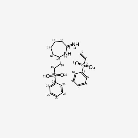 C=CS(=O)(=O)c1ccccc1.N=C1CCCCC(CCS(=O)(=O)c2ccccc2)N1